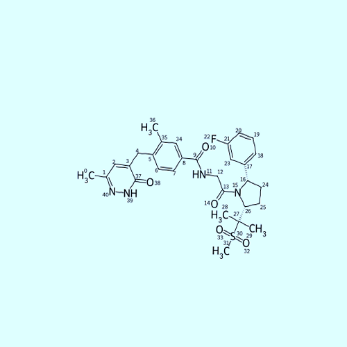 Cc1cc(Cc2ccc(C(=O)NCC(=O)N3[C@H](c4cccc(F)c4)CC[C@@H]3C(C)(C)S(C)(=O)=O)cc2C)c(=O)[nH]n1